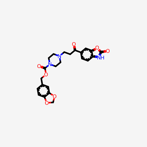 O=C(CCN1CCN(C(=O)OCc2ccc3c(c2)OCO3)CC1)c1ccc2[nH]c(=O)oc2c1